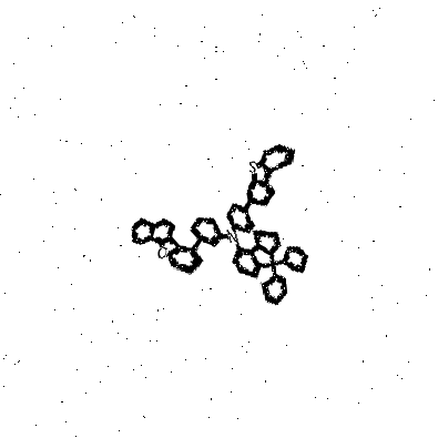 c1ccc(C2(c3ccccc3)c3ccccc3-c3c(N(c4ccc(-c5ccc6c(c5)sc5ccccc56)cc4)c4cccc(-c5cccc6oc7c8ccccc8ccc7c56)c4)cccc32)cc1